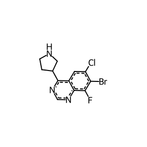 Fc1c(Br)c(Cl)cc2c(C3CCNC3)ncnc12